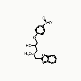 CN(Cc1nc2ccccc2o1)CC(O)COc1ccc([N+](=O)[O-])cc1